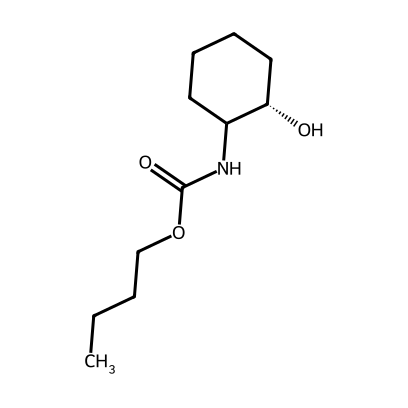 CCCCOC(=O)NC1CCCC[C@@H]1O